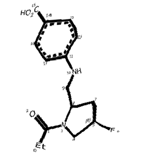 CCC(=O)N1C[C@H](F)CC1CNc1ccc(C(=O)O)cc1